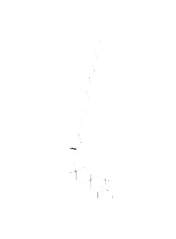 CCCCOCCOCCOCCOCCC(=O)OCC1(CC)COC2(CC(C)N(OC)C(C)(C)C2)OC1